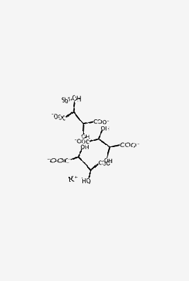 O=C([O-])C(O)C(O)C(=O)[O-].O=C([O-])C(O)C(O)C(=O)[O-].O=C([O-])C(O)C(O)C(=O)[O-].[K+].[Sb+5]